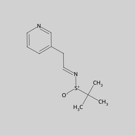 CC(C)(C)[S+]([O-])/N=C/Cc1cccnc1